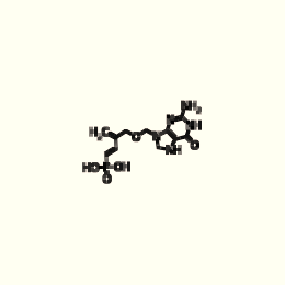 C=C(C=CP(=O)(O)O)COCN1CNc2c1nc(N)[nH]c2=O